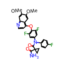 COc1cc2nccc(Oc3c(F)cc(N(C(=O)C4(C(N)=O)CC4)c4ccc(F)cc4)cc3F)c2cc1OC